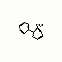 O=C(O)c1ccccc1-c1cc[c]cc1